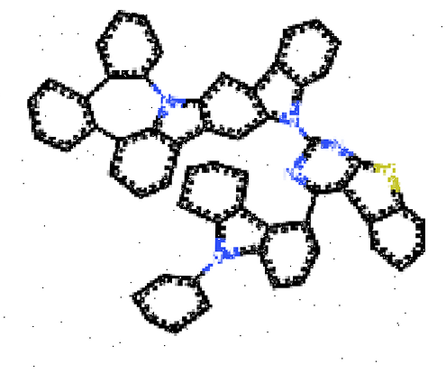 c1ccc(-n2c3ccccc3c3c(-c4nc(-n5c6ccccc6c6cc7c(cc65)c5cccc6c5n7-c5ccccc5-c5ccccc5-6)nc5sc6ccccc6c45)cccc32)cc1